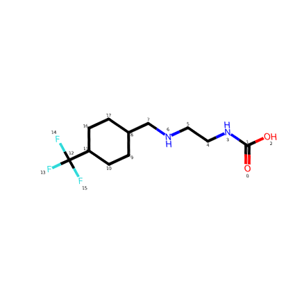 O=C(O)NCCNCC1CCC(C(F)(F)F)CC1